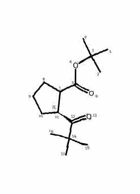 CC(C)(C)OC(=O)C1CCC[C@@H]1C(=O)C(C)(C)C